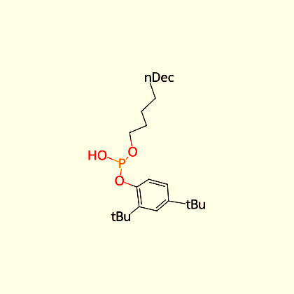 CCCCCCCCCCCCCCOP(O)Oc1ccc(C(C)(C)C)cc1C(C)(C)C